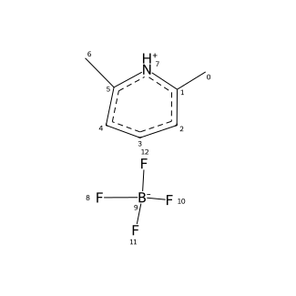 Cc1cccc(C)[nH+]1.F[B-](F)(F)F